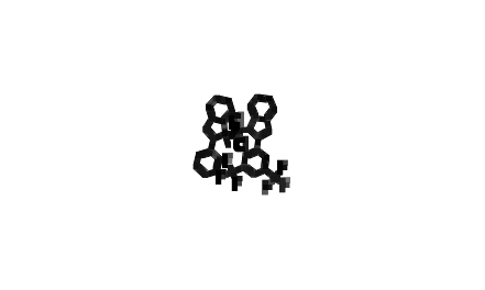 C[C]1([Zr]([Cl])([Cl])[CH]2C(c3cc(C(F)(F)F)cc(C(F)(F)F)c3)=Cc3ccccc32)C(c2ccccc2)=Cc2ccccc21